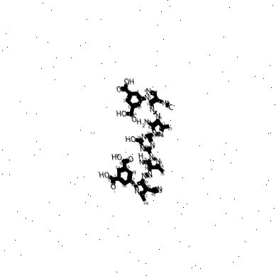 [C-]#[N+]c1cnn(-c2cc(C(=O)O)cc(C(=O)O)c2)c1N=Nc1c(C)nn(-c2nc(O)nc(-n3nc(C)c(N=Nc4c(C#N)c(C)nn4-c4cc(C(=O)O)cc(C(=O)O)c4)c3N)n2)c1N